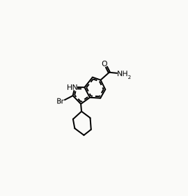 NC(=O)c1ccc2c(C3CCCCC3)c(Br)[nH]c2c1